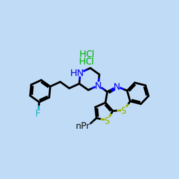 CCCc1cc2c(s1)Sc1ccccc1N=C2N1CCNC(CCc2cccc(F)c2)C1.Cl.Cl